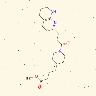 CC(C)OC(=O)CCCC1CCN(C(=O)CCc2ccc3c(n2)NCCC3)CC1